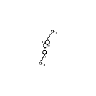 CCCCC[C@H]1CC[C@@H]2C[C@H](c3ccc(OCCCC)cc3)CC[C@H]2C1